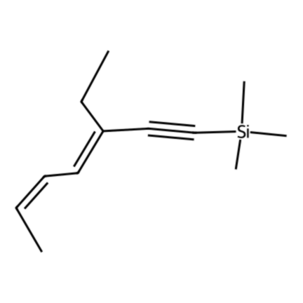 C/C=C\C=C(\C#C[Si](C)(C)C)CC